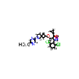 O=C(O)c1cnc(N2CCC3(CC(OCc4c(-c5c(Cl)cccc5Cl)noc4C4CC4)C3)C2)cn1